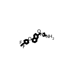 CC(F)(F)c1ccc(Oc2cccc3cc(C(=O)N4CC(N)C4)ccc23)cc1